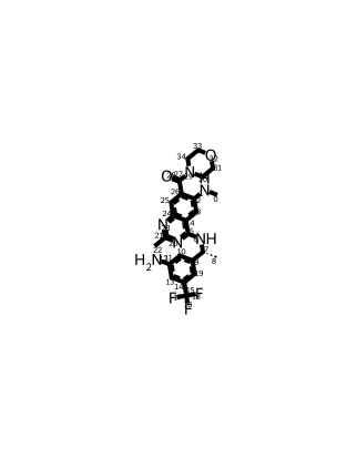 CNc1cc2c(N[C@H](C)c3cc(N)cc(C(F)(F)F)c3)nc(C)nc2cc1C(=O)N1CCOCC1